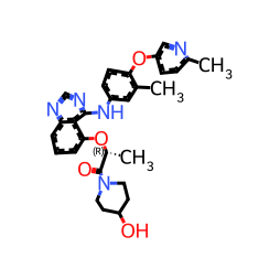 Cc1ccc(Oc2ccc(Nc3ncnc4cccc(O[C@H](C)C(=O)N5CCC(O)CC5)c34)cc2C)cn1